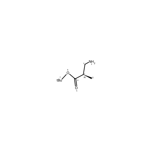 [CH2][C@H](CN)C(=O)OC(C)(C)C